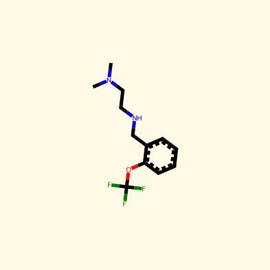 CN(C)CCNCc1ccccc1OC(F)(F)F